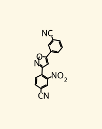 N#Cc1cccc(-c2cc(-c3ccc(C#N)cc3[N+](=O)[O-])no2)c1